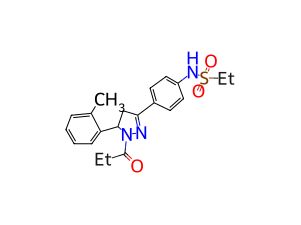 CCC(=O)N1N=C(c2ccc(NS(=O)(=O)CC)cc2)CC1c1ccccc1C